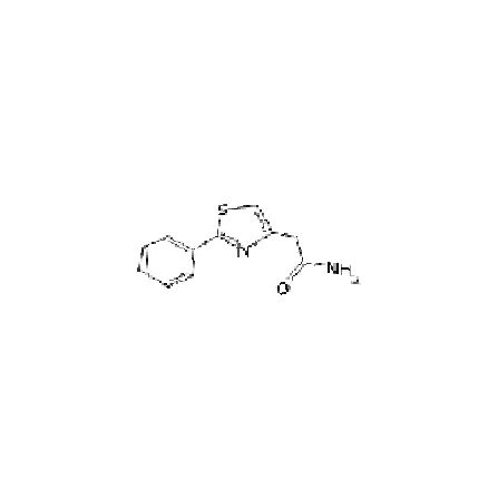 NC(=O)Cc1csc(-c2ccccc2)n1